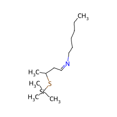 CCCCCC/N=C\CC(C)S[Si](C)(C)C